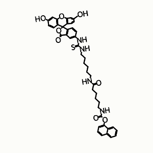 O=C(CCCCCNC(=O)Oc1cccc2ccccc12)NCCCCCCNC(=S)Nc1ccc2c(c1)C(=O)OC21c2ccc(O)cc2Oc2cc(O)ccc21